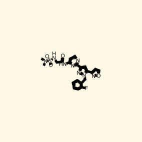 CN(C)S(=O)(=O)NCC(=O)Nc1ccnc(-c2cc(-c3ccon3)n(Cc3ccccc3F)n2)n1